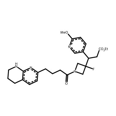 CCOC(=O)CC(c1ccc(OC)nc1)C1(F)CN(C(=O)CCCc2ccc3c(n2)NCCC3)C1